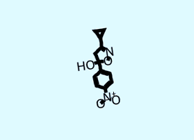 O=[N+]([O-])c1ccc(C2(O)CC(C3CC3)=NO2)cc1